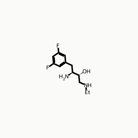 CCNC[C@@H](O)[C@@H](N)Cc1cc(F)cc(F)c1